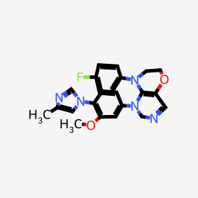 COc1cc(N2CN=CC3=C2N(c2ccc(F)cc2)CCO3)ccc1-n1cnc(C)c1